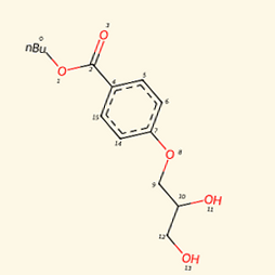 CCCCOC(=O)c1ccc(OCC(O)CO)cc1